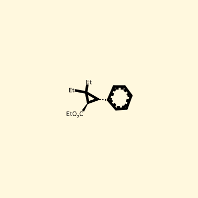 CCOC(=O)[C@@H]1[C@@H](c2ccccc2)C1(CC)CC